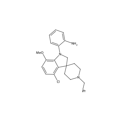 COc1ccc(Cl)c2c1N(c1ccccc1N)CC21CCN(CC(C)C)CC1